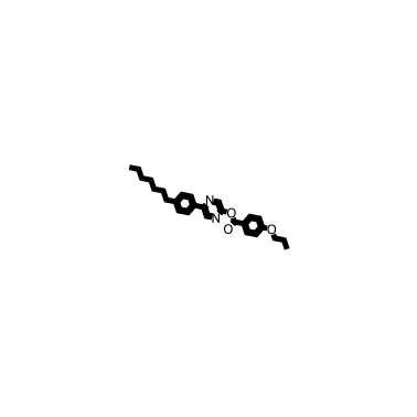 CCCCCCCc1ccc(-c2cnc(OC(=O)c3ccc(OCCC)cc3)cn2)cc1